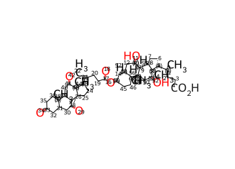 C[C@H](CCC(=O)O)[C@H]1CC[C@H]2[C@@H]3[C@H](O)C[C@@H]4C[C@H](OC(=O)CC[C@@H](C)[C@H]5CCC6C7C(=O)CC8CC(=O)CC[C@]8(C)C7CC(=O)[C@@]65C)CC[C@]4(C)[C@H]3C[C@H](O)[C@]12C